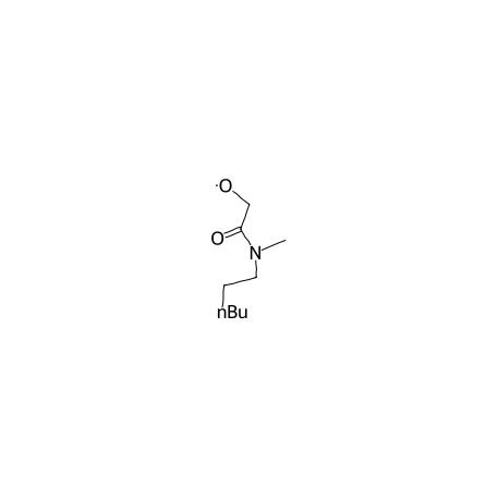 CCCCCCN(C)C(=O)C[O]